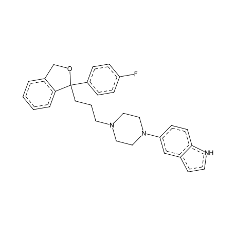 Fc1ccc(C2(CCCN3CCN(c4ccc5[nH]ccc5c4)CC3)OCc3ccccc32)cc1